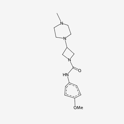 COc1ccc(NC(=O)N2CC(N3CCN(C)CC3)C2)cc1